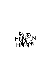 CN(C)Cc1cncc(-c2ncc3[nH]nc(-c4nc5c(-c6ccoc6)cncc5[nH]4)c3c2F)c1